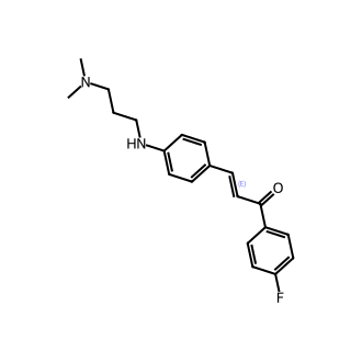 CN(C)CCCNc1ccc(/C=C/C(=O)c2ccc(F)cc2)cc1